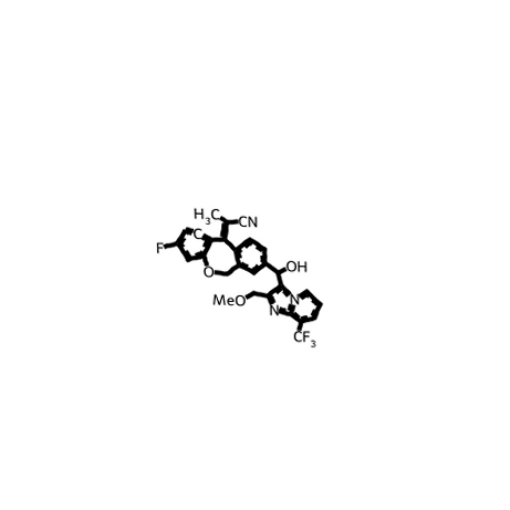 COCc1nc2c(C(F)(F)F)cccn2c1C(O)c1ccc2c(c1)COc1cc(F)ccc1C2=C(C)C#N